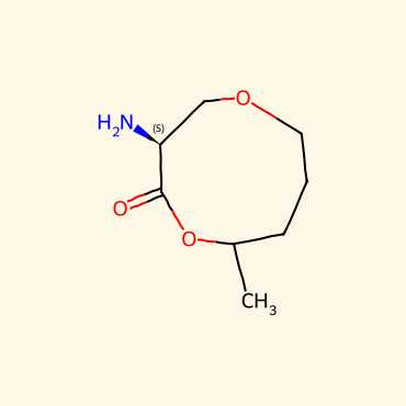 CC1CCCOC[C@H](N)C(=O)O1